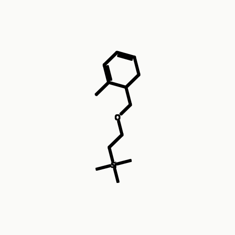 CC1=CC=CCC1COCC[Si](C)(C)C